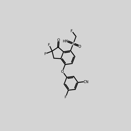 N#Cc1cc(F)cc(Oc2ccc(S(=N)(=O)CF)c3c2CC(F)(F)C3=O)c1